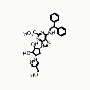 O=C(O)c1nc(NCC(c2ccccc2)c2ccccc2)c2ncn([C@@H]3C[C@H](n4cc(CO)cn4)C(O)C3O)c2n1